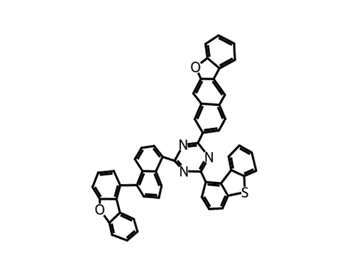 c1ccc2c(c1)oc1cc3cc(-c4nc(-c5cccc6c(-c7cccc8oc9ccccc9c78)cccc56)nc(-c5cccc6sc7ccccc7c56)n4)ccc3cc12